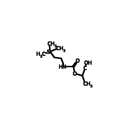 CC(CO)OC(=O)NCC[Si](C)(C)C